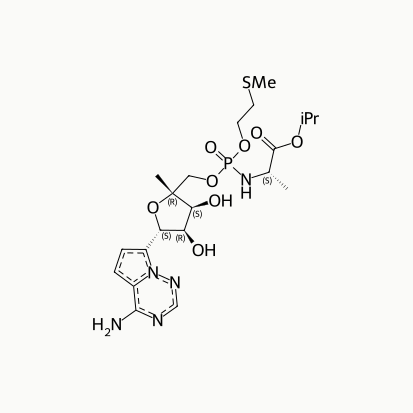 CSCCOP(=O)(N[C@@H](C)C(=O)OC(C)C)OC[C@@]1(C)O[C@@H](c2ccc3c(N)ncnn23)[C@H](O)[C@@H]1O